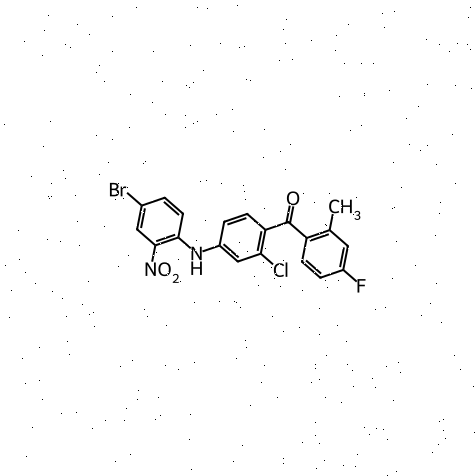 Cc1cc(F)ccc1C(=O)c1ccc(Nc2ccc(Br)cc2[N+](=O)[O-])cc1Cl